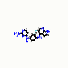 Nc1nccc(Nc2ccc(Nc3ccnc4[nH]ccc34)c(F)c2)n1